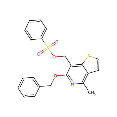 Cc1nc(OCc2ccccc2)c(COS(=O)(=O)c2ccccc2)c2sccc12